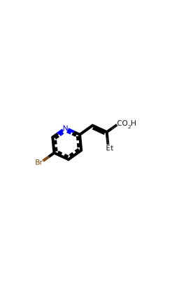 CC/C(=C\c1ccc(Br)cn1)C(=O)O